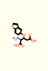 N[C@H](C(=O)O)C(CC(=O)O)Oc1ccc2sccc2c1